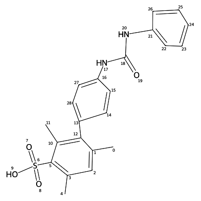 Cc1cc(C)c(S(=O)(=O)O)c(C)c1-c1ccc(NC(=O)Nc2ccccc2)cc1